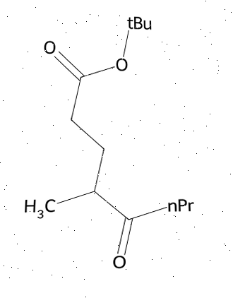 CCCC(=O)C(C)CCC(=O)OC(C)(C)C